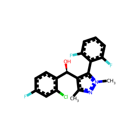 Cc1nn(C)c(-c2c(F)cccc2F)c1[C@H](O)c1ccc(F)cc1Cl